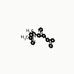 Cc1cc(-c2ccc3c4cc(-c5ccc6c(c5)c5ccccc5n6-c5ccccc5)ccc4n(-c4ccccn4)c3c2)nc2c1ccc1c(C)cc(-c3ccccn3)nc12